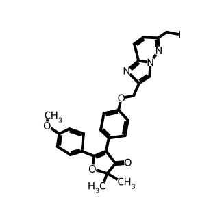 COc1ccc(C2=C(c3ccc(OCc4cn5nc(CI)ccc5n4)cc3)C(=O)C(C)(C)O2)cc1